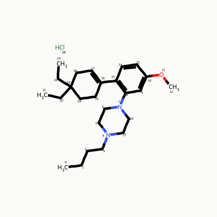 CCCCN1CCN(c2cc(OC)ccc2C2=CCC(CC)(CC)CC2)CC1.Cl